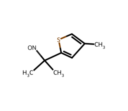 Cc1csc(C(C)(C)N=O)c1